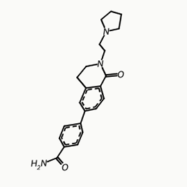 NC(=O)c1ccc(-c2ccc3c(c2)CCN(CCN2CCCC2)C3=O)cc1